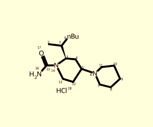 CCCCC(C)[C@H]1CC(N2CCCCC2)CCN1C(N)=O.Cl